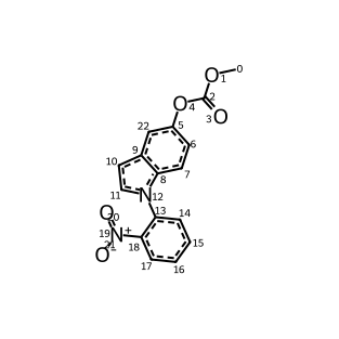 COC(=O)Oc1ccc2c(ccn2-c2ccccc2[N+](=O)[O-])c1